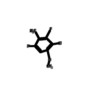 COc1cc(F)c(C)c(F)c1Cl